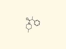 CC1CCN(C(=O)C(C)c2ccccc2)CC1